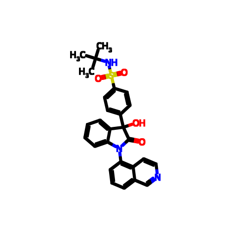 CC(C)(C)NS(=O)(=O)c1ccc(C2(O)C(=O)N(c3cccc4cnccc34)c3ccccc32)cc1